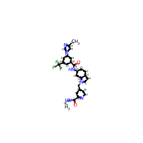 CNC(=O)c1cc(Cn2ccc3ccc(NC(=O)c4cc(-n5cnc(C)c5)cc(C(F)(F)F)c4)cc32)ccn1